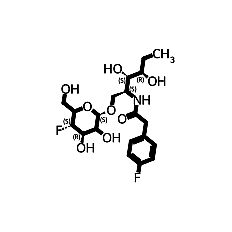 CC[C@@H](O)[C@@H](O)[C@H](CO[C@H]1OC(CO)[C@@H](F)[C@H](O)C1O)NC(=O)Cc1ccc(F)cc1